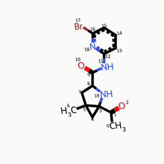 CC(=O)C12CC1(C)CC(C(=O)Nc1cccc(Br)n1)N2